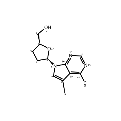 OC[C@@H]1CC[C@H](n2cc(I)c3c(Cl)ncnc32)O1